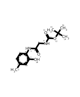 Cc1ccc(NC(=O)CNC(=O)OC(C)(C)C)c(O)c1